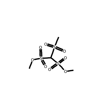 COS(=O)(=O)C(S(C)(=O)=O)S(=O)(=O)OC